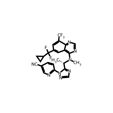 C[C@@H](c1ncnn1-c1ccc(C#N)cn1)N(C)c1ncnc2c(C(F)(F)F)cc(C(F)(F)C3CC3)cc12